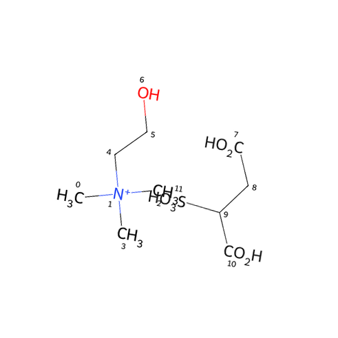 C[N+](C)(C)CCO.O=C(O)CC(C(=O)O)S(=O)(=O)O